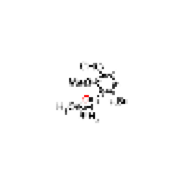 COc1c(C=O)ccc(C(C)(C)C)c1CO[SiH](C)C